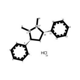 CN1[C@@H](c2ccccc2)C[C@@H](c2ccccc2)N1C.Cl